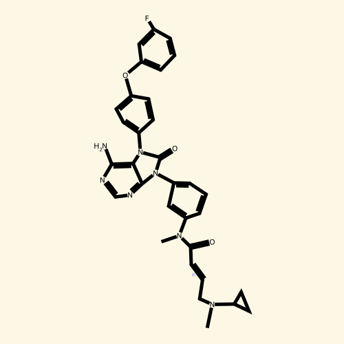 CN(C(=O)/C=C/CN(C)C1CC1)c1cccc(-n2c(=O)n(-c3ccc(Oc4cccc(F)c4)cc3)c3c(N)ncnc32)c1